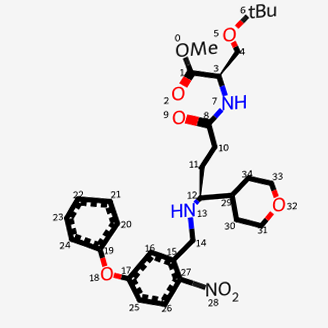 COC(=O)[C@@H](COC(C)(C)C)NC(=O)CC[C@H](NCc1cc(Oc2ccccc2)ccc1[N+](=O)[O-])C1CCOCC1